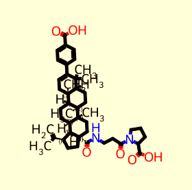 C=C(C)[C@@H]1CC[C@]2(C(=O)NCCC(=O)N3CCCC3C(=O)O)CC[C@]3(C)[C@H](CC[C@@H]4[C@@]5(C)CC=C(c6ccc(C(=O)O)cc6)C(C)(C)[C@@H]5CC[C@]43C)[C@@H]12